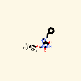 C[Si](C)(C)CCOCn1c(=O)[nH]c(=O)c2c1ncn2CCc1ccccc1